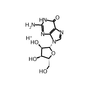 Nc1nc2c(ncn2[C@@H]2O[C@H](CO)[C@@H](O)[C@H]2O)c(=O)[nH]1.[H+]